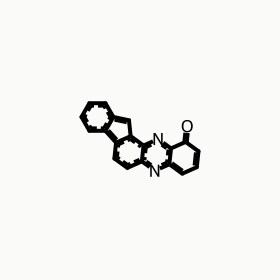 O=C1C=CC=c2nc3ccc4c(c3nc21)C=c1ccccc1=4